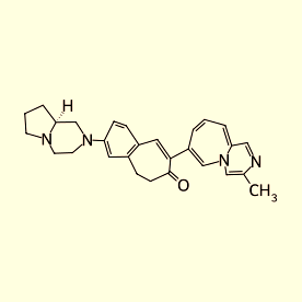 CC1=CN2C=C(C3=Cc4ccc(N5CCN6CCC[C@H]6C5)cc4CCC3=O)C=CC=C2C=N1